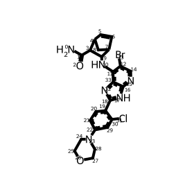 NC(=O)C1C2C=CC(C2)C1Nc1c(Br)cnc2[nH]c(-c3ccc(N4CCOCC4)cc3Cl)nc12